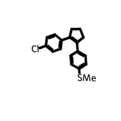 CSc1ccc(C2=C(c3ccc(Cl)cc3)CCC2)cc1